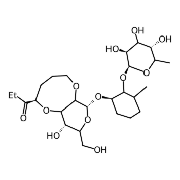 CCC(=O)[C@H]1CCCOC2C(O1)[C@@H](O)C(CO)O[C@H]2O[C@@H]1CCCC(C)C1O[C@@H]1OC(C)[C@@H](O)C(O)[C@@H]1O